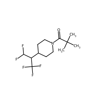 CC(C)(C)C(=O)N1CCC(C(C(F)F)C(F)(F)F)CC1